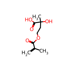 C=C(C)C(=O)OCCC(C)(O)C(=O)O